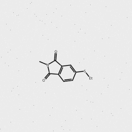 CCSc1ccc2c(c1)C(=O)N(C)C2=O